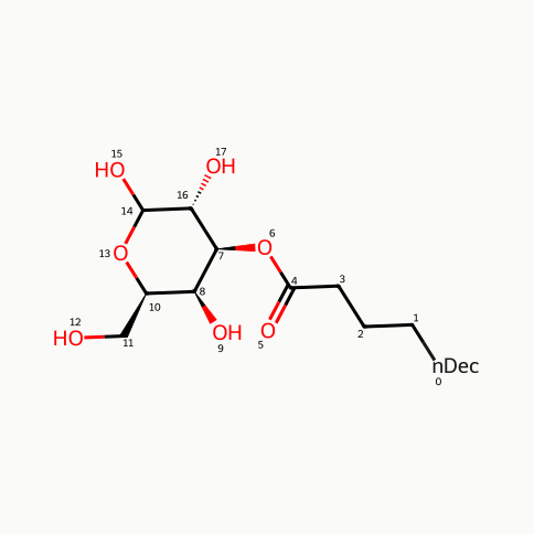 CCCCCCCCCCCCCC(=O)O[C@H]1[C@@H](O)[C@@H](CO)OC(O)[C@@H]1O